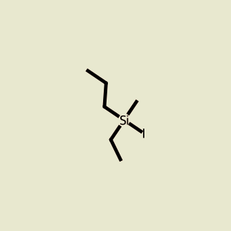 CCC[Si](C)(I)CC